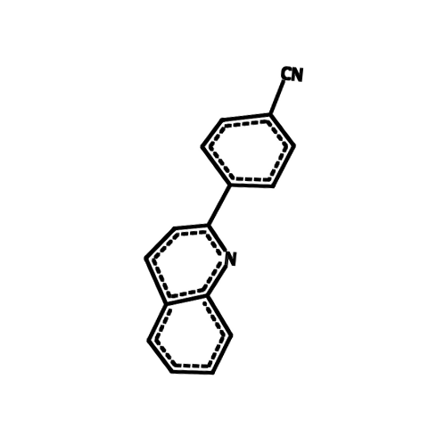 N#Cc1ccc(-c2ccc3ccccc3n2)cc1